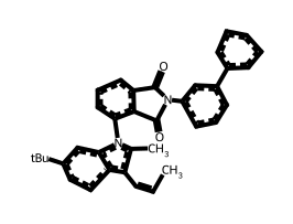 C/C=C\c1c(C)n(-c2cccc3c2C(=O)N(c2cccc(-c4ccccc4)c2)C3=O)c2cc(C(C)(C)C)ccc12